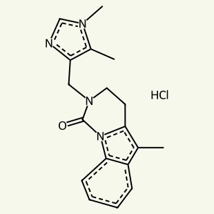 Cc1c2n(c3ccccc13)C(=O)N(Cc1ncn(C)c1C)CC2.Cl